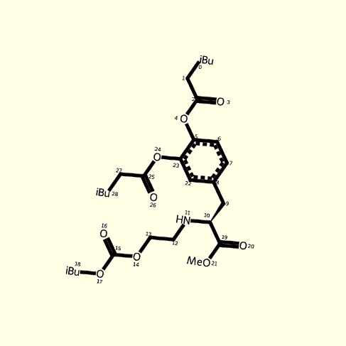 CCC(C)CC(=O)Oc1ccc(C[C@H](NCCOC(=O)OC(C)CC)C(=O)OC)cc1OC(=O)CC(C)CC